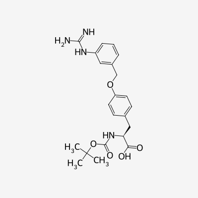 CC(C)(C)OC(=O)N[C@@H](Cc1ccc(OCc2cccc(NC(=N)N)c2)cc1)C(=O)O